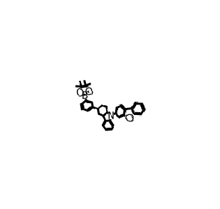 CC1(C)OB(c2cccc(C3CCC4C(C3)c3ccccc3N4c3ccc4c(c3)oc3ccccc34)c2)OC1(C)C